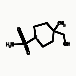 CC1(CO)CCN(S(N)(=O)=O)CC1